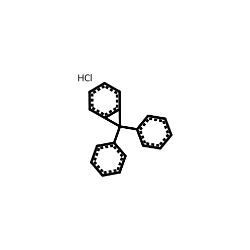 Cl.c1ccc(C2(c3ccccc3)c3ccccc32)cc1